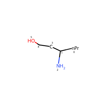 CCCC(N)CCO